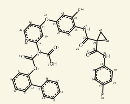 O=C(O)N(C(=O)Oc1ccccc1-c1ccccc1)c1cc(Oc2ccc(NC(=O)C3(C(=O)Nc4ccc(F)cc4)CC3)c(F)c2)ccn1